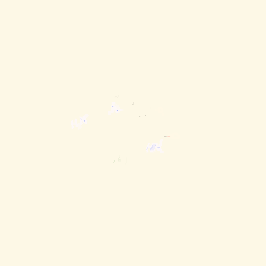 CCCC(CC(=O)NCC)Oc1ccc2c(ccn2CCN)c1.Cl